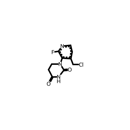 O=C1CCN(c2c(CCl)ccnc2F)C(=O)N1